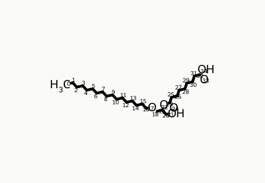 CCCCCCCCCCCCCCCCCOCC(CO)OC(=O)CCCCCCCC(=O)O